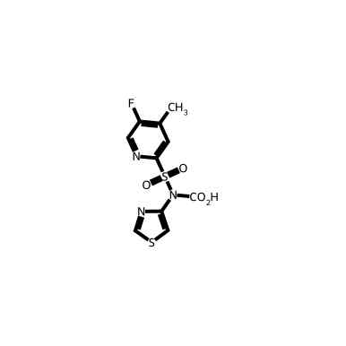 Cc1cc(S(=O)(=O)N(C(=O)O)c2cscn2)ncc1F